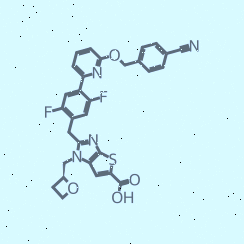 N#Cc1ccc(COc2cccc(-c3cc(F)c(Cc4nc5sc(C(=O)O)cc5n4C[C@@H]4CCO4)cc3F)n2)cc1